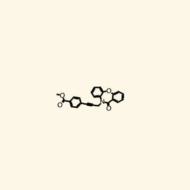 COC(=O)c1ccc(C#CCN2C(=O)c3ccccc3Oc3ccccc32)cc1